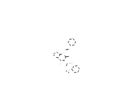 Cc1ccccc1C=Nn1c(=O)c(C2=NS(=O)(=O)c3ccccc3N2)c(O)c2sccc21